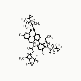 CC1(S(=O)(=O)Nc2nn(CC(F)(F)F)c3c(-c4ccc(C#CC(C)(C)S(=O)(=O)C5(C)CC5)nc4[C@H](Cc4cc(F)cc(F)c4)NC(=O)Cn4nc(C(F)(F)F)c5c4C(F)(F)C4C[C@H]54)ccc(Cl)c23)CC1